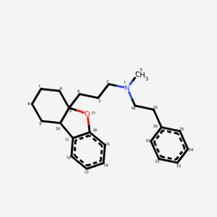 CN(CCCC12CCCCC1c1ccccc1O2)CCc1ccccc1